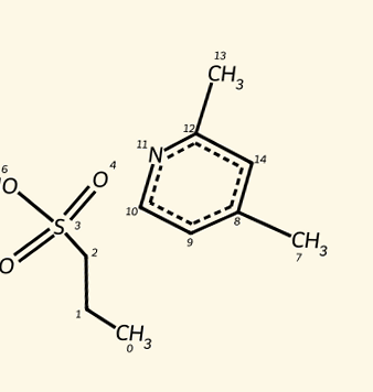 CCCS(=O)(=O)O.Cc1ccnc(C)c1